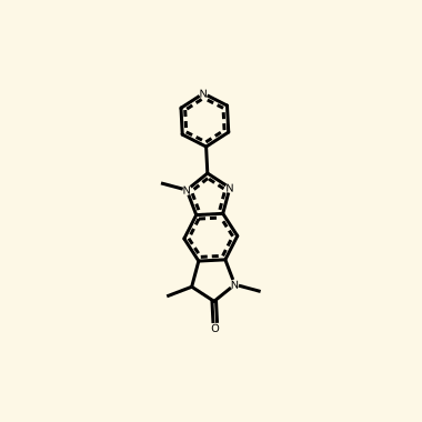 CC1C(=O)N(C)c2cc3nc(-c4ccncc4)n(C)c3cc21